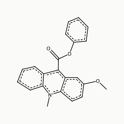 COc1ccc2c(c1)c(C(=O)Oc1ccccc1)c1ccccc1[n+]2C